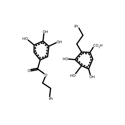 CC(C)CCOC(=O)c1cc(O)c(O)c(O)c1.CC(C)CCc1c(C(=O)O)cc(O)c(O)c1O